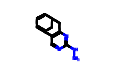 NNc1ncc2c(n1)CC1C=CC=C2C1